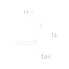 CSC(N)=S.[Ni]